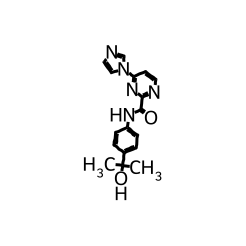 CC(C)(O)c1ccc(NC(=O)c2nccc(-n3ccnc3)n2)cc1